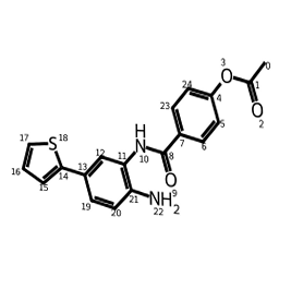 CC(=O)Oc1ccc(C(=O)Nc2cc(-c3cccs3)ccc2N)cc1